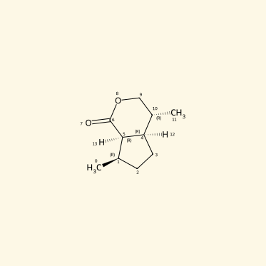 C[C@@H]1CC[C@H]2[C@@H]1C(=O)OC[C@@H]2C